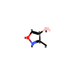 Bc1conc1C